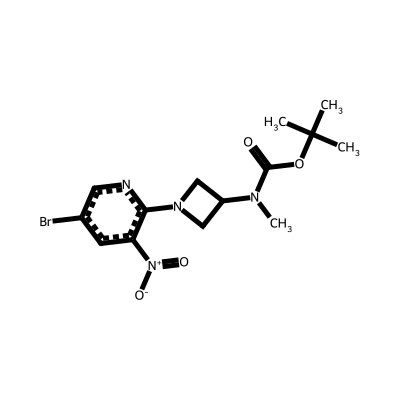 CN(C(=O)OC(C)(C)C)C1CN(c2ncc(Br)cc2[N+](=O)[O-])C1